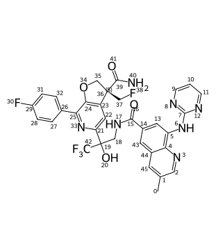 Cc1cnc2c(Nc3ncccn3)cc(C(=O)NCC(O)(c3cc4c(c(-c5ccc(F)cc5)n3)OC[C@]4(CF)C(N)=O)C(F)(F)F)cc2c1